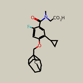 CN(CC(=O)O)C(=O)c1cc(C2CC2)c(OCC23CC4CC(CC2C4)C3)cc1F